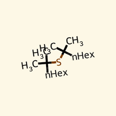 CCCCCCC(C)(C)SC(C)(C)CCCCCC